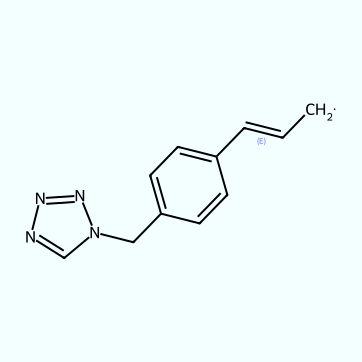 [CH2]/C=C/c1ccc(Cn2cnnn2)cc1